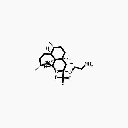 C[C@@H]1CC[C@H]2[C@@H](C)[C@](OCCN)(C(F)(F)F)O[C@@H]3O[C@]4(C)CC[C@@H]1[C@]32OO4